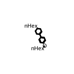 CCCCCCOc1ccc(C2=CCC(CCCCCC)CC2)cc1